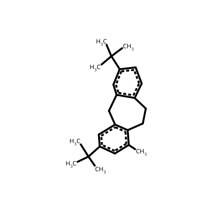 Cc1cc(C(C)(C)C)cc2c1CCc1ccc(C(C)(C)C)cc1C2